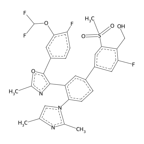 Cc1cn(-c2ccc(-c3cc(F)c(CO)c(S(C)(=O)=O)c3)cc2-c2nc(C)oc2-c2ccc(F)c(OC(F)F)c2)c(C)n1